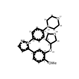 COc1ccc(-c2ccnn2-c2ccc(N3CCOCC3)cc2)cc1OC1CCOC1